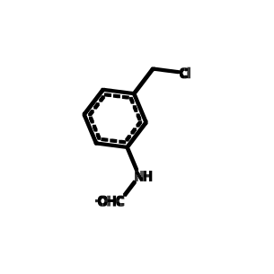 O=[C]Nc1cccc(CCl)c1